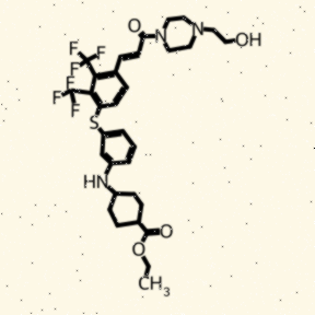 CCOC(=O)C1CCC(Nc2cccc(Sc3ccc(C=CC(=O)N4CCN(CCO)CC4)c(C(F)(F)F)c3C(F)(F)F)c2)CC1